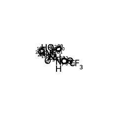 O=C(NCCNc1ccc(OC(F)(F)F)cc1)[C@H](CC1CCCCC1)NC(=O)[C@@H](O)c1ccccc1